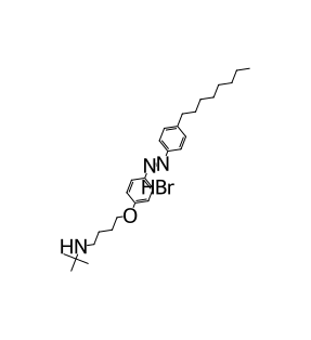 Br.CCCCCCCCc1ccc(N=Nc2ccc(OCCCCNC(C)(C)C)cc2)cc1